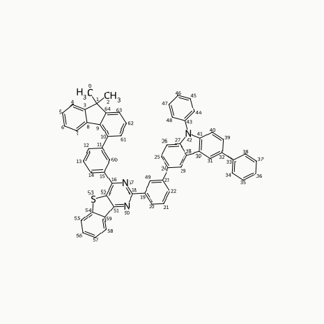 CC1(C)c2ccccc2-c2c(-c3cccc(-c4nc(-c5cccc(-c6ccc7c(c6)c6cc(-c8ccccc8)ccc6n7-c6ccccc6)c5)nc5c4sc4ccccc45)c3)cccc21